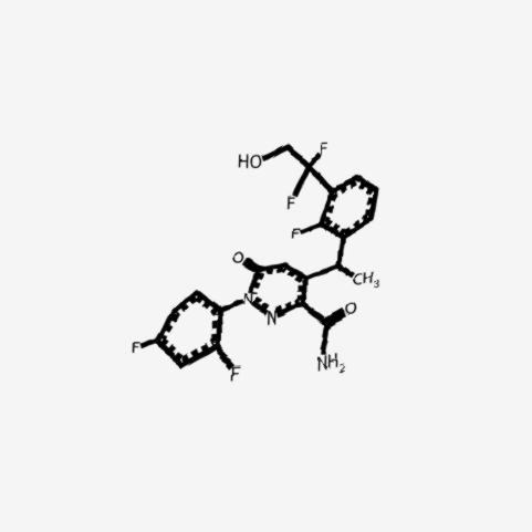 CC(c1cc(=O)n(-c2ccc(F)cc2F)nc1C(N)=O)c1cccc(C(F)(F)CO)c1F